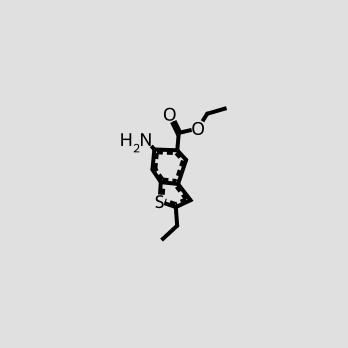 CCOC(=O)c1cc2cc(CC)sc2cc1N